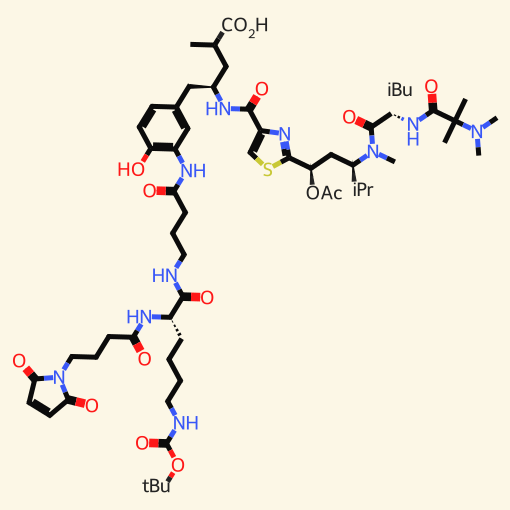 CC[C@H](C)[C@H](NC(=O)C(C)(C)N(C)C)C(=O)N(C)[C@H](C[C@@H](OC(C)=O)c1nc(C(=O)N[C@@H](Cc2ccc(O)c(NC(=O)CCCNC(=O)[C@H](CCCCNC(=O)OC(C)(C)C)NC(=O)CCCN3C(=O)C=CC3=O)c2)CC(C)C(=O)O)cs1)C(C)C